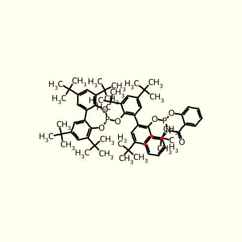 CC(C)(C)c1cc(-c2cc(C(C)(C)C)cc(C(C)(C)C)c2Op2oc3c(C(C)(C)C)cc(C(C)(C)C)cc3c3cc(C(C)(C)C)cc(C(C)(C)C)c3o2)c(OP2Oc3ccccc3C(=O)N2c2ccccc2)c(C(C)(C)C)c1